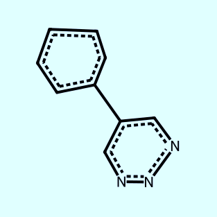 c1ccc(-c2cnnnc2)cc1